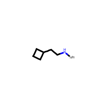 [CH2]CCNCCC1CCC1